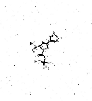 CC(C)(C)OC(=O)N1CC(c2cn[nH]c2)C[C@@H]1C(=O)O